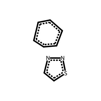 c1ccccc1.c1csnn1